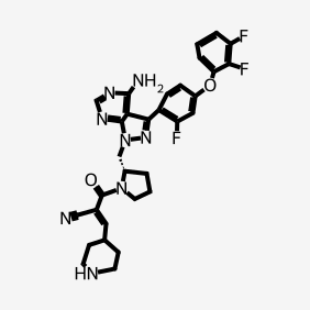 N#C/C(=C\C1CCNCC1)C(=O)N1CCC[C@H]1Cn1nc(-c2ccc(Oc3cccc(F)c3F)cc2F)c2c(N)ncnc21